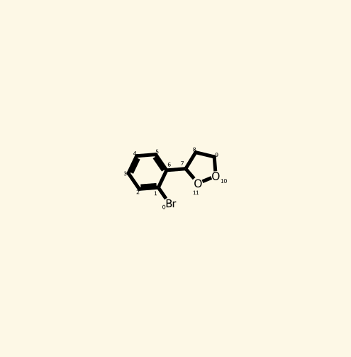 Brc1ccccc1C1CCOO1